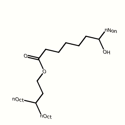 CCCCCCCCCC(O)CCCCCC(=O)OCCC(CCCCCCCC)CCCCCCCC